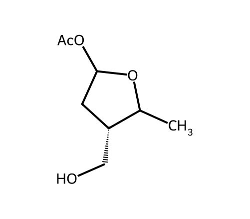 CC(=O)OC1C[C@@H](CO)C(C)O1